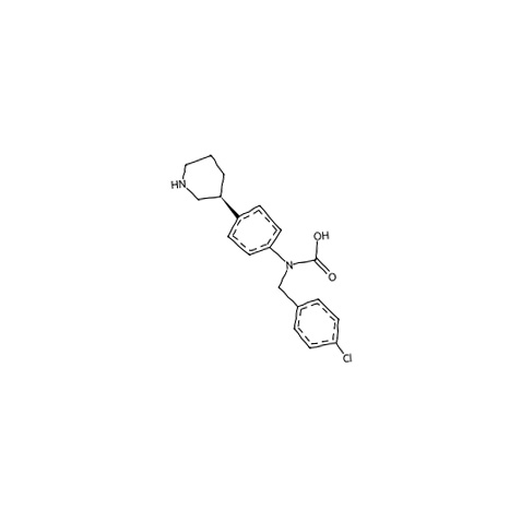 O=C(O)N(Cc1ccc(Cl)cc1)c1ccc([C@@H]2CCCNC2)cc1